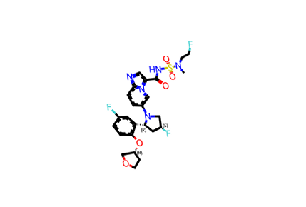 CN(CCF)S(=O)(=O)NC(=O)c1cnc2ccc(N3C[C@@H](F)C[C@@H]3c3cc(F)ccc3O[C@@H]3CCOC3)cn12